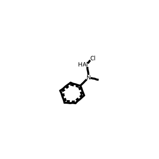 C[N]([AlH][Cl])c1ccccc1